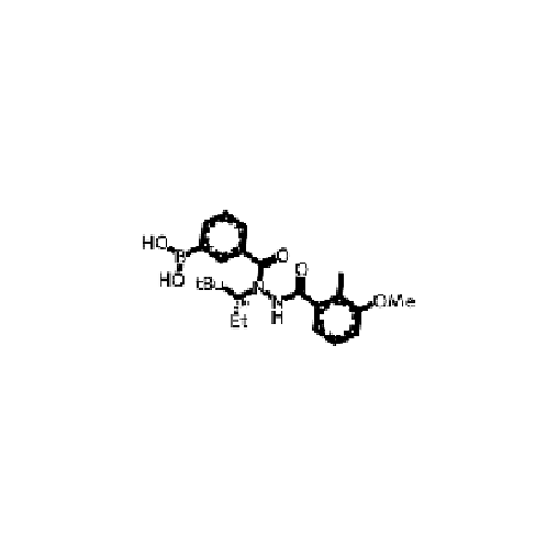 CC[C@@H](N(NC(=O)c1cccc(OC)c1C)C(=O)c1cccc(B(O)O)c1)C(C)(C)C